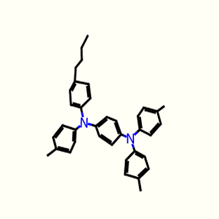 CCCCc1ccc(N(c2ccc(C)cc2)c2ccc(N(c3ccc(C)cc3)c3ccc(C)cc3)cc2)cc1